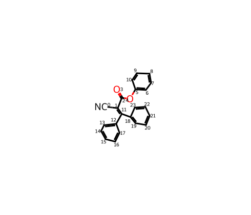 N#CC(C(=O)Oc1ccccc1)=C(c1ccccc1)c1ccccc1